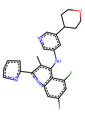 Cc1c(-c2ccccn2)nc2cc(F)cc(F)c2c1Nc1cncc(C2CCOCC2)c1